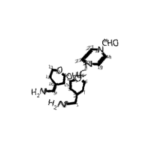 NCC1CCOCC1.NCC1CCOCC1.O=CN1C=CN(C=O)C=C1